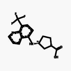 O=C(O)N1CC[C@@H](Nc2ccc(C(F)(F)F)c3ncccc23)C1